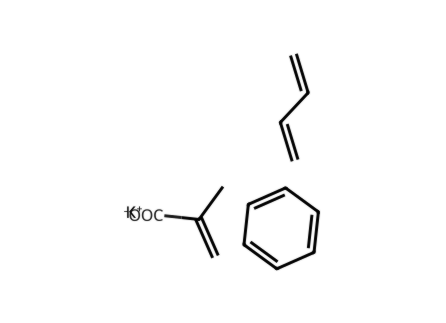 C=C(C)C(=O)[O-].C=CC=C.[K+].c1ccccc1